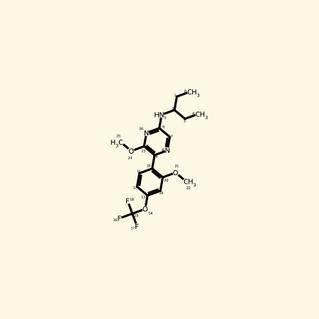 CCC(CC)Nc1cnc(-c2ccc(OC(F)(F)F)cc2OC)c(OC)n1